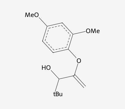 C=C(Oc1ccc(OC)cc1OC)C(O)C(C)(C)C